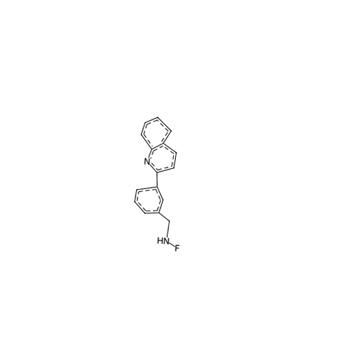 FNCc1cccc(-c2ccc3ccccc3n2)c1